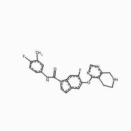 Cc1cc(NC(=O)n2ccc3cc(Oc4ncnc5c4CCNC5)c(F)cc32)ccc1F